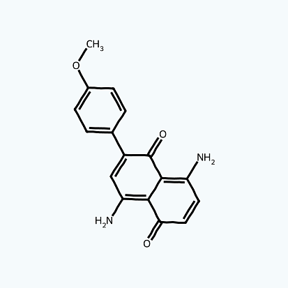 COc1ccc(C2=CC(N)=C3C(=O)C=CC(N)=C3C2=O)cc1